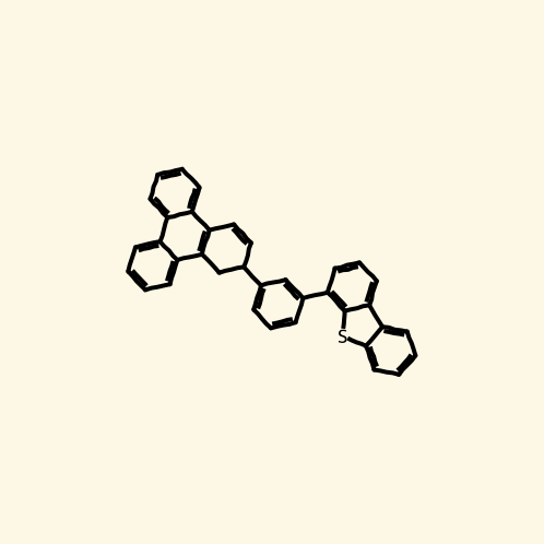 C1=CC(c2cccc(-c3cccc4c3sc3ccccc34)c2)Cc2c1c1ccccc1c1ccccc21